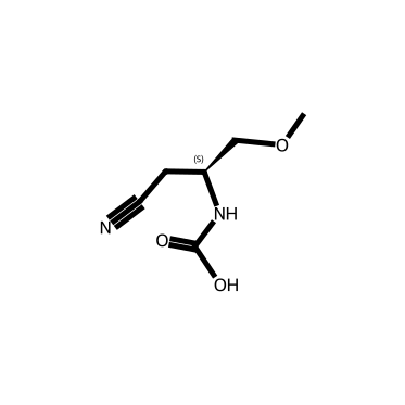 COC[C@H](CC#N)NC(=O)O